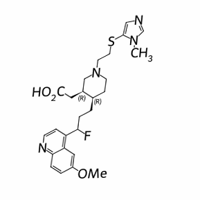 COc1ccc2nccc(C(F)CC[C@@H]3CCN(CCSc4cncn4C)C[C@@H]3CC(=O)O)c2c1